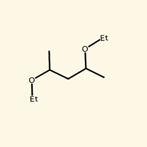 CCOC(C)CC(C)OCC